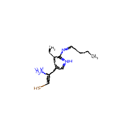 C=Cc1c(/C(N)=C/S)c[nH]c1/N=C\CCC